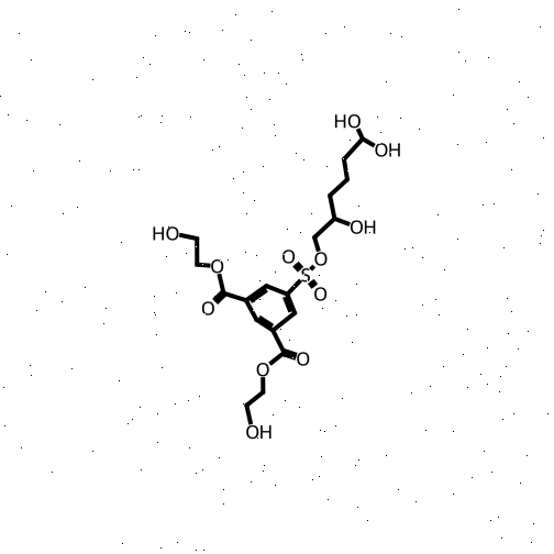 O=C(OCCO)c1cc(C(=O)OCCO)cc(S(=O)(=O)OCC(O)CCCC(O)O)c1